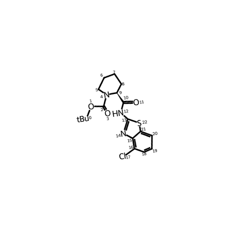 CC(C)(C)OC(=O)N1CCCC[C@H]1C(=O)Nc1nc2c(Cl)cccc2s1